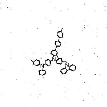 Cc1ccc(-c2ccc(-c3ccc4c(c3)c3cc(Cn5c6ccccc6c6ccccc65)ccc3n4-c3ccc(N(c4ccc(C)cc4)c4ccc(C)cc4)cc3)cc2)cc1